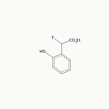 CCOC(=O)C(F)c1ccccc1O